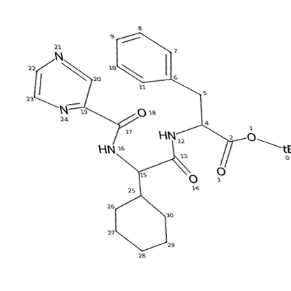 CC(C)(C)OC(=O)C(Cc1ccccc1)NC(=O)C(NC(=O)c1cnccn1)C1CCCCC1